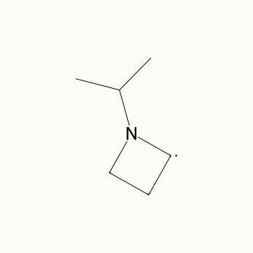 CC(C)N1[CH]CC1